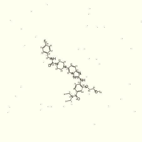 CCN(CC)C(=O)c1ccc(Nc2nc3ccc(N4CCN(C(=O)NCc5ccc(F)cc5)CC4)cn3n2)c(OCCOC)c1